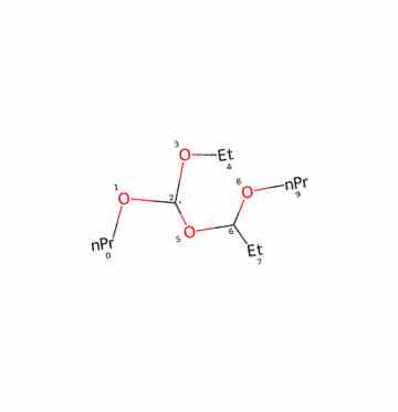 CCCO[C](OCC)OC(CC)OCCC